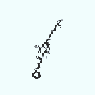 CCOC(=O)CCCCCOC[C@@]12C[C@@H]1N(C(=O)CNC(=O)CCCOc1ccccc1)[C@H](C(=O)O)C2